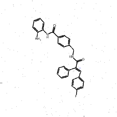 Nc1ccccc1NC(=O)c1ccc(CNC(=O)/C(=C/c2ccc(F)cc2)c2ccccc2)cc1